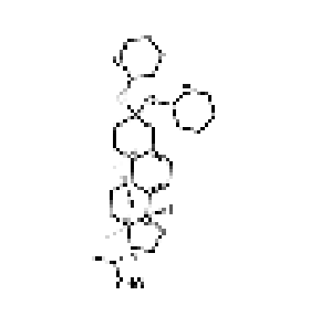 CC(C=O)[C@H]1CC[C@H]2C3=CC=C4CC(OC5CCCCO5)(OC5CCCCO5)CC[C@]4(C)[C@H]3CC[C@]12C